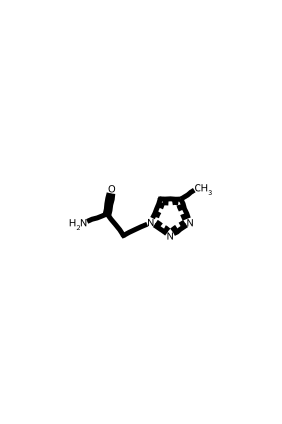 Cc1cn(CC(N)=O)nn1